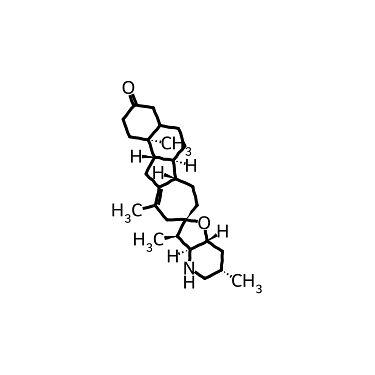 CC1=C2C[C@H]3[C@@H](CCC4CC(=O)CC[C@@]43C)[C@@H]2CC[C@@]2(C1)O[C@@H]1C[C@H](C)CN[C@H]1[C@H]2C